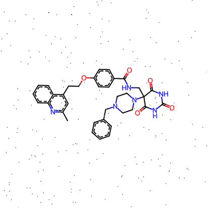 Cc1cc(CCOc2ccc(C(=O)NCC3(N4CCN(Cc5ccccc5)CC4)C(=O)NC(=O)NC3=O)cc2)c2ccccc2n1